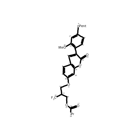 CCCCCc1ccc(-c2cc3ccc(OCC(COC(=O)C(C)C)C(F)(F)F)cc3oc2=O)c(OC)c1